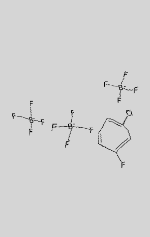 F[B-](F)(F)F.F[B-](F)(F)F.F[B-](F)(F)F.Fc1cccc(Cl)c1